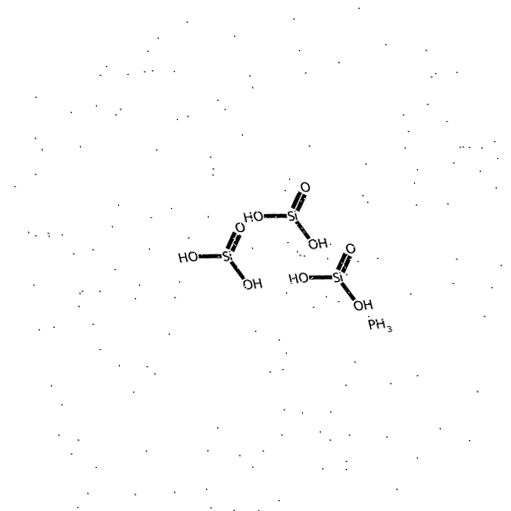 O=[Si](O)O.O=[Si](O)O.O=[Si](O)O.P